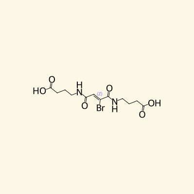 O=C(O)CCCNC(=O)/C=C(\Br)C(=O)NCCCC(=O)O